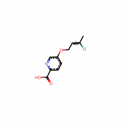 C/C(Cl)=C/COc1ccc(C(=O)O)nc1